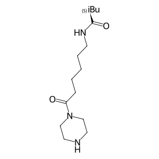 CC[C@H](C)C(=O)NCCCCCC(=O)N1CCNCC1